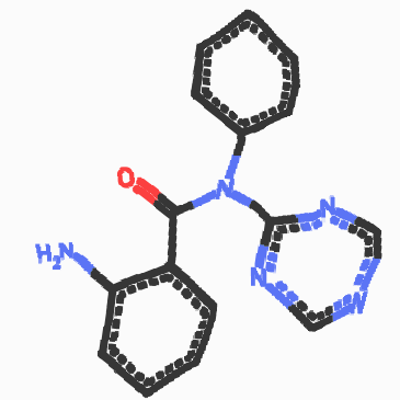 Nc1ccccc1C(=O)N(c1ccccc1)c1ncncn1